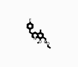 CCOOCc1cc(C)c2cc(Cc3ccc(F)cc3)cnc2c1OC